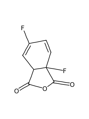 O=C1OC(=O)C2(F)C=CC(F)=CC12